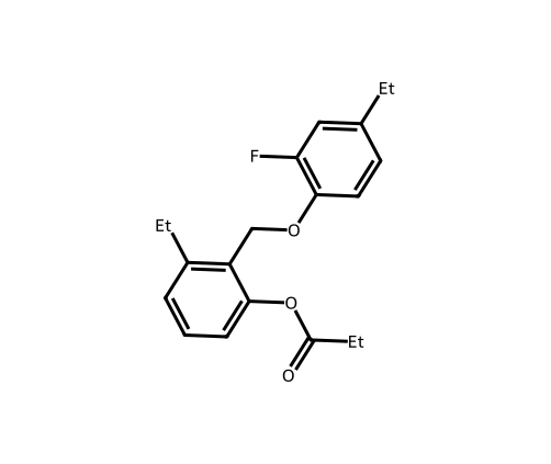 CCC(=O)Oc1cccc(CC)c1COc1ccc(CC)cc1F